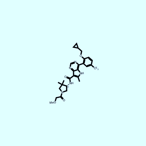 COCC(=O)N1C[C@@H](NC(=O)c2c(C)[nH]c3c(-c4cc(C(F)(F)F)ccc4OCC4CC4)ncnc23)C(C)(C)C1